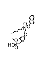 CCCCCCCN(CCOc1ccc(CC(OCC)C(=O)O)cc1)C(=O)Oc1ccc2ccccc2c1